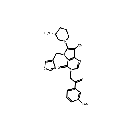 COc1cccc(C(=O)Cn2cnc3c(C#N)c(N4CCC[C@@H](N)C4)n(Cc4cscn4)c3c2=O)c1